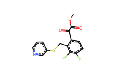 COC(=O)C(=O)c1ccc(F)c(F)c1CSc1cccnc1